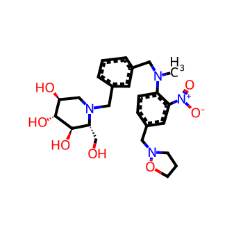 CN(Cc1cccc(CN2C[C@H](O)[C@@H](O)[C@H](O)[C@H]2CO)c1)c1ccc(CN2CCCO2)cc1[N+](=O)[O-]